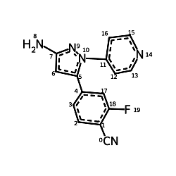 N#Cc1ccc(-c2cc(N)nn2-c2ccncc2)cc1F